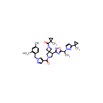 CC(c1nc(C2CN(C(=O)c3cnn(Cc4ccc(C#N)cc4C(=O)O)c3)CC23CN(C(=O)C2(C(F)(F)F)CC2)C3)no1)n1ccc(C2(C(F)(F)F)CC2)n1